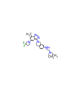 CCN(CC)CCNc1ccc2c(c1)CN(c1ncnc3c(C)cc(N4CCC(F)(F)C4)cc13)CC2